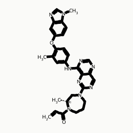 C=CC(=O)N1CCCN(c2ncc3ncnc(Nc4ccc(Oc5ccc6c(c5)ncn6C)c(C)c4)c3n2)C[C@H]1C